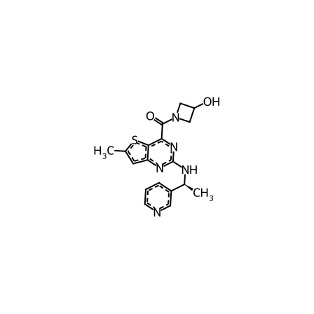 Cc1cc2nc(N[C@@H](C)c3cccnc3)nc(C(=O)N3CC(O)C3)c2s1